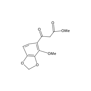 COC(=O)CC(=O)c1ccc2c(c1OC)OCO2